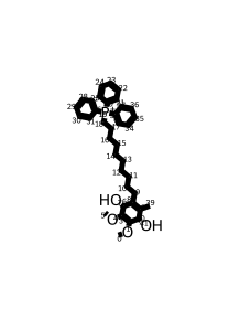 COC1=C(OC)C(O)C(CCCCCCCCCC[P+](c2ccccc2)(c2ccccc2)c2ccccc2)=C(C)C1O